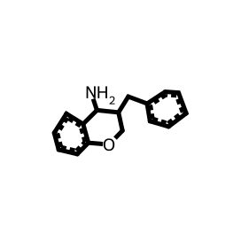 NC1c2ccccc2OCC1Cc1ccccc1